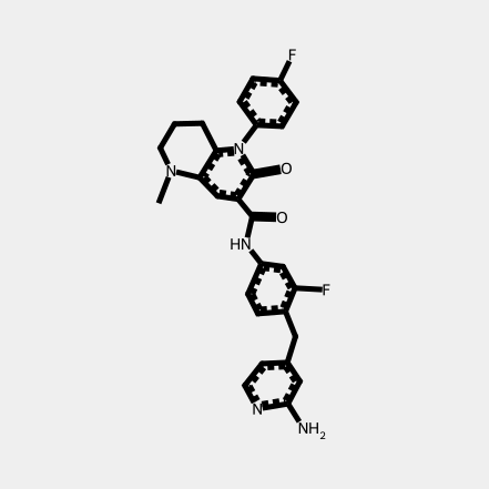 CN1CCCc2c1cc(C(=O)Nc1ccc(Cc3ccnc(N)c3)c(F)c1)c(=O)n2-c1ccc(F)cc1